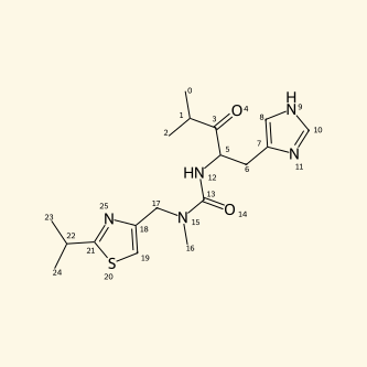 CC(C)C(=O)C(Cc1c[nH]cn1)NC(=O)N(C)Cc1csc(C(C)C)n1